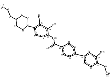 CCCC1CCC(c2ccc(OC(=O)c3ccc(-c4ccc(CC)c(F)c4)cc3)c(F)c2F)CC1